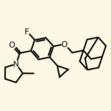 CC1CCCN1C(=O)c1cc(C2CC2)c(OCC23CC4CC(CC(C4)C2)C3)cc1F